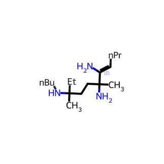 CCC/C=C(\N)C(C)(N)CCC(C)(CC)NCCCC